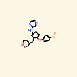 C[S+]([O-])c1ccc(Oc2ccc(Nc3cnccn3)cc2CC2CCOCC2)cc1